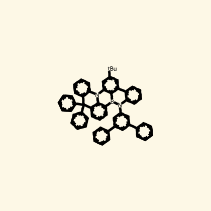 CC(C)(C)c1cc2c3c(c1)N1c4ccccc4C(c4ccccc4)(c4ccccc4)c4cccc(c41)B3N(c1cc(-c3ccccc3)cc(-c3ccccc3)c1)c1ccccc1-2